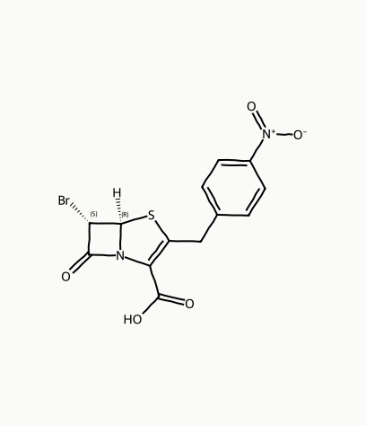 O=C(O)C1=C(Cc2ccc([N+](=O)[O-])cc2)S[C@@H]2[C@@H](Br)C(=O)N12